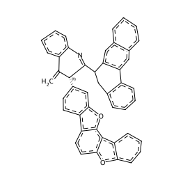 C=C1c2ccccc2N=C(C2Cc3ccccc3-c3cc4ccccc4cc32)[C@@H]1c1ccc2c(c1)oc1c2ccc2oc3ccccc3c21